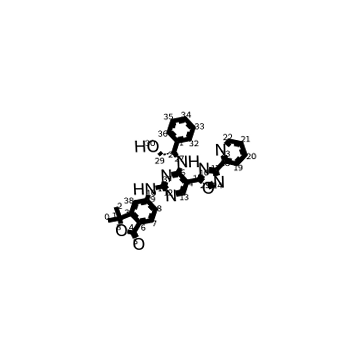 CC1(C)OC(=O)c2ccc(Nc3ncc(-c4nc(-c5ccccn5)no4)c(N[C@H](CO)c4ccccc4)n3)cc21